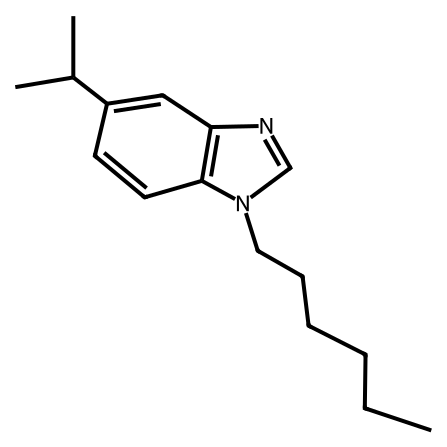 CCCCCCn1cnc2cc(C(C)C)ccc21